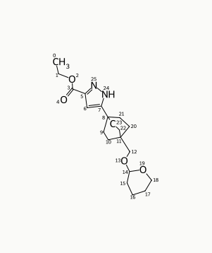 CCOC(=O)c1cc(C23CCC(COC4CCCCO4)(CC2)CC3)[nH]n1